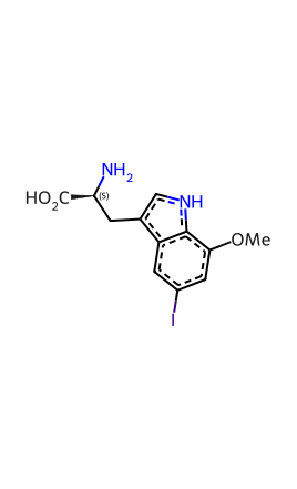 COc1cc(I)cc2c(C[C@H](N)C(=O)O)c[nH]c12